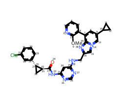 COc1ncccc1-c1cc(C2CC2)cn2cc(CNc3cc(NC(=O)[C@H]4C[C@@H]4c4cccc(Cl)c4)ncn3)nc12